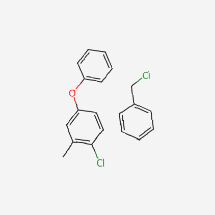 Cc1cc(Oc2ccccc2)ccc1Cl.ClCc1ccccc1